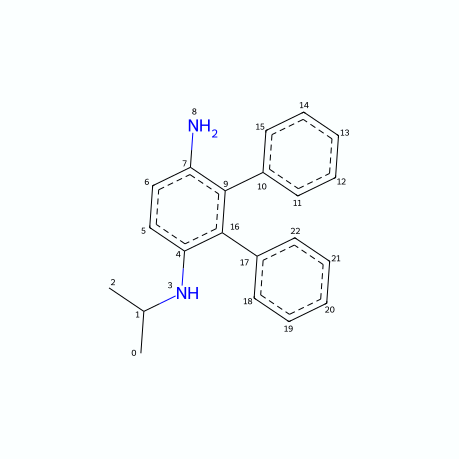 CC(C)Nc1ccc(N)c(-c2ccccc2)c1-c1ccccc1